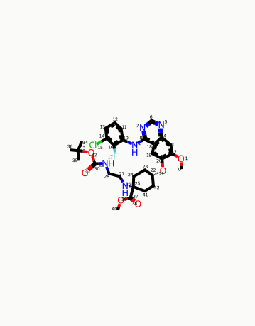 COc1cc2ncnc(Nc3cccc(Cl)c3F)c2cc1O[C@H]1CC[C@](NCCNC(=O)OC(C)(C)C)(C(=O)OC)CC1